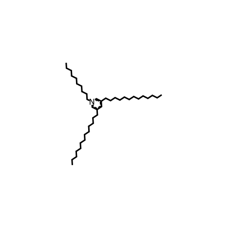 CCCCCCCCCCCCCc1cc(CCCCCCCCCCCCC)c[n+](CCCCCCCCCC)c1